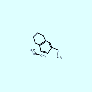 CCc1ccc2c(c1)CCCC2.CNC